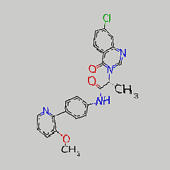 COc1cccnc1-c1ccc(NC(=O)[C@@H](C)n2cnc3cc(Cl)ccc3c2=O)cc1